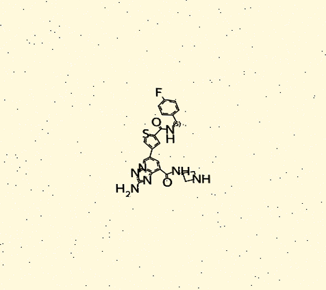 C[C@H](NC(=O)c1cc(-c2cc(C(=O)NC3CNC3)c3nc(N)nn3c2)cs1)c1ccc(F)cc1